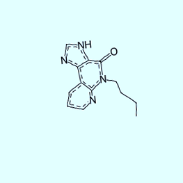 CCCCn1c(=O)c2[nH]cnc2c2cccnc21